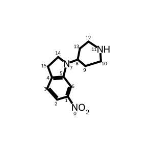 O=[N+]([O-])c1ccc2c(c1)N(C1CCNCC1)CC2